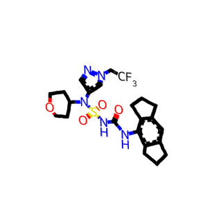 O=C(Nc1c2c(cc3c1CCC3)CCC2)NS(=O)(=O)N(c1cnn(CC(F)(F)F)c1)C1CCOCC1